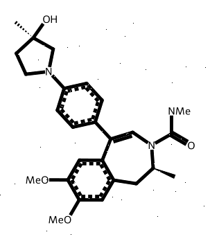 CNC(=O)N1C=C(c2ccc(N3CC[C@@](C)(O)C3)cc2)c2cc(OC)c(OC)cc2C[C@@H]1C